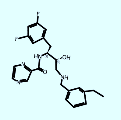 CCc1cccc(CNC[C@@H](O)[C@H](Cc2cc(F)cc(F)c2)NC(=O)c2cnccn2)c1